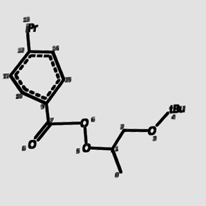 C[C](COC(C)(C)C)OOC(=O)c1ccc(C(C)C)cc1